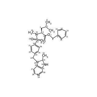 CC(C)C[C@@H](C(=O)OCc1ccccc1)N(C)S(=O)(=O)c1ccc(CN2c3ccncc3NC2C)cc1